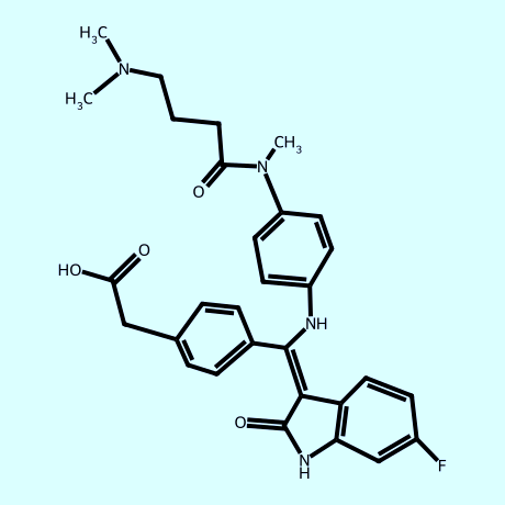 CN(C)CCCC(=O)N(C)c1ccc(NC(=C2C(=O)Nc3cc(F)ccc32)c2ccc(CC(=O)O)cc2)cc1